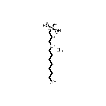 CC(C)CCCCCCCOCCC[N+](C)(O)O.[Cl-]